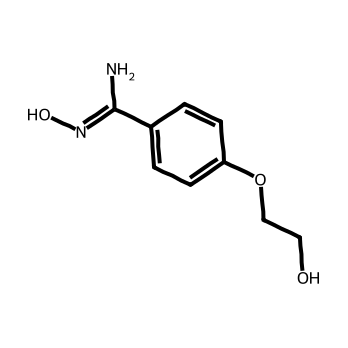 N/C(=N\O)c1ccc(OCCO)cc1